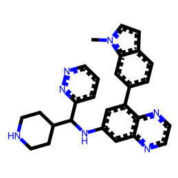 Cn1ccc2ccc(-c3cc(NC(c4cccnn4)C4CCNCC4)cc4nccnc34)cc21